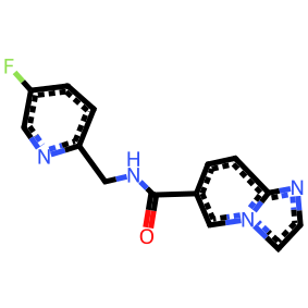 O=C(NCc1ccc(F)cn1)c1ccc2nccn2c1